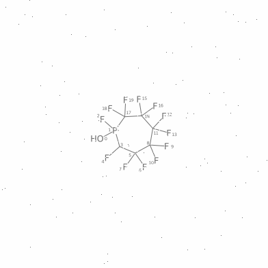 O[P]1(F)C(F)C(F)(F)C(F)(F)C(F)(F)C(F)(F)C1(F)F